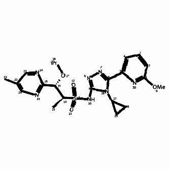 COc1cccc(-c2nnc(NS(=O)(=O)[C@@H](C)[C@@H](OC(C)C)c3ncc(C)cn3)n2C2CC2)n1